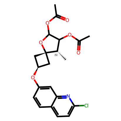 CC(=O)OC1O[C@]2(C[C@H](Oc3ccc4ccc(Cl)nc4c3)C2)[C@@H](C)C1OC(C)=O